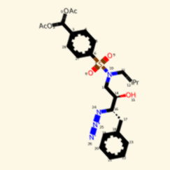 CC(=O)OC(OC(C)=O)c1ccc(S(=O)(=O)N(CC(C)C)C[C@@H](O)[C@H](Cc2ccccc2)N=[N+]=[N-])cc1